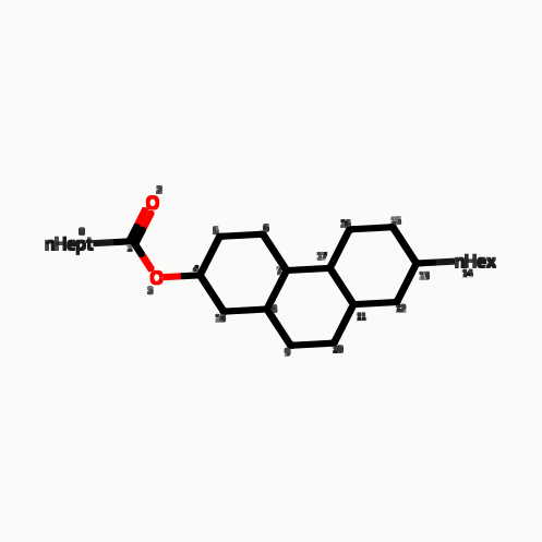 CCCCCCCC(=O)OC1CCC2C(CCC3CC(CCCCCC)CCC32)C1